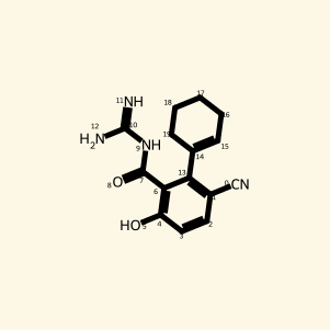 N#Cc1ccc(O)c(C(=O)NC(=N)N)c1C1=CCCCC1